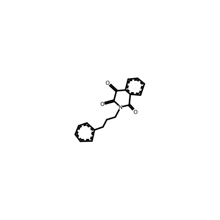 O=C1C(=O)N(CCCc2ccccc2)C(=O)c2ccccc21